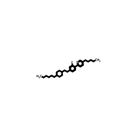 CCCCCCC1CCC(CCc2ccc(-c3ccc(CCCCC)cn3)c(F)c2)CC1